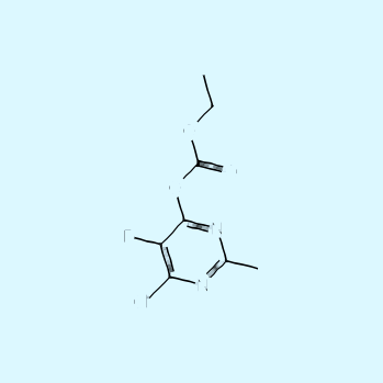 CCOC(=O)Oc1nc(C)nc(Cl)c1F